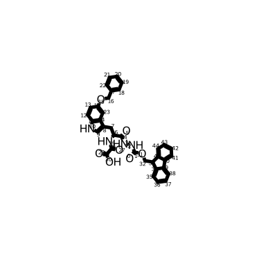 O=C(NNC(=O)C(Cc1c[nH]c2ccc(OCc3ccccc3)cc12)NC(=O)C(=O)O)OCC1c2ccccc2-c2ccccc21